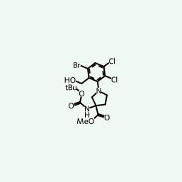 COC(=O)C1(NC(=O)OC(C)(C)C)CCN(c2c(Cl)c(Cl)cc(Br)c2CO)C1